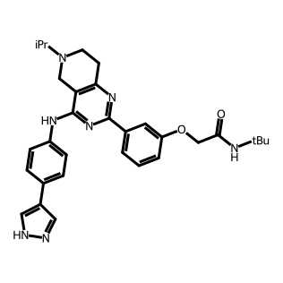 CC(C)N1CCc2nc(-c3cccc(OCC(=O)NC(C)(C)C)c3)nc(Nc3ccc(-c4cn[nH]c4)cc3)c2C1